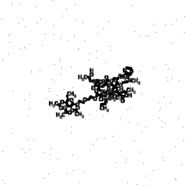 CCCCOC(=O)C(C)(CC(C)(CCC)C(=O)O)CC(C)(CBC(C)(CC(C)(CBC(C)(CC)C(=O)OCCOCCO[C@@H]1O[C@H](CC)[C@H](OC(C)=O)[C@H](OC(C)=O)[C@H]1OC(C)=O)C(=O)NCC(C)O)C(=O)OCCSSc1ccccn1)C(=O)OCCN(C)C